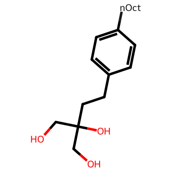 CCCCCCCCc1ccc(CCC(O)(CO)CO)cc1